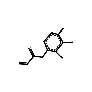 C=CC(=O)Cc1ccc(C)c(C)c1C